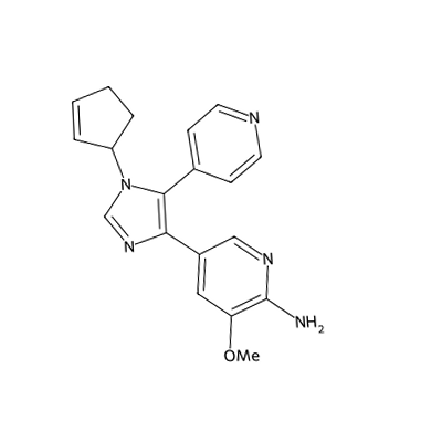 COc1cc(-c2ncn(C3C=CCC3)c2-c2ccncc2)cnc1N